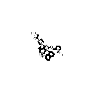 C=CC(=O)N1CCN(C2=N[C@@H](OCC3CCCN3C)N(c3cccc4cccc(C)c34)C3=C2C2(CC2)CNC3)CC1